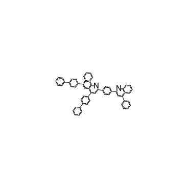 c1ccc(-c2ccc(-c3cc4c(-c5ccc(-c6ccccc6)cc5)cc(-c5ccc(-c6cc(-c7ccccc7)c7ccccc7n6)cc5)nc4c4ccccc34)cc2)cc1